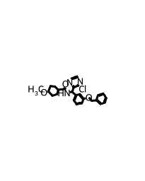 COC1CCC(C(=O)NC(c2cccc(OCc3ccccc3)c2)c2nccnc2Cl)CC1